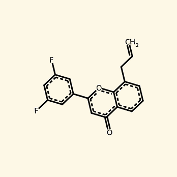 C=CCc1cccc2c(=O)cc(-c3cc(F)cc(F)c3)oc12